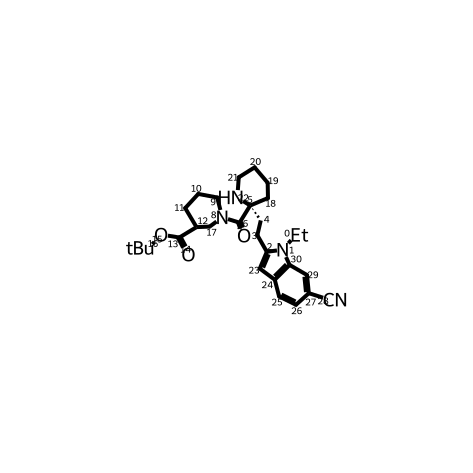 CCn1c(CC[C@@]2(C(=O)N3CCCC(C(=O)OC(C)(C)C)C3)CCCCN2)cc2ccc(C#N)cc21